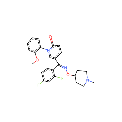 COc1ccccc1-n1cc(C(=NOC2CCN(C)CC2)c2ccc(F)cc2F)ccc1=O